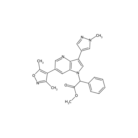 COC(=O)C(c1ccccc1)n1cc(-c2cnn(C)c2)c2ncc(-c3c(C)noc3C)cc21